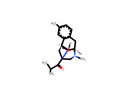 Cc1ccc2c(c1)[C@]13CCCN(C)[C@H](C2)[C@@H]1CN(C(=O)C(C)C)CC3